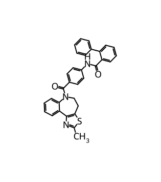 Cc1nc2c(s1)CCN(C(=O)c1ccc(NC(=O)c3ccccc3-c3ccccc3)cc1)c1ccccc1-2